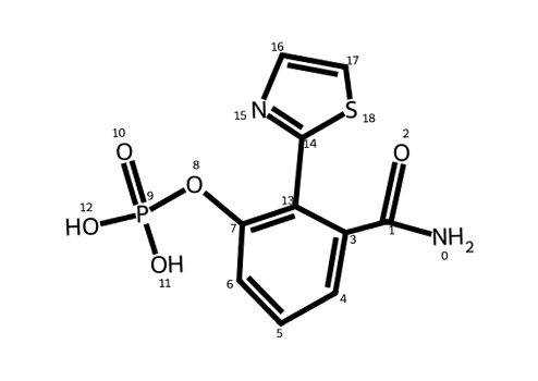 NC(=O)c1cccc(OP(=O)(O)O)c1-c1nccs1